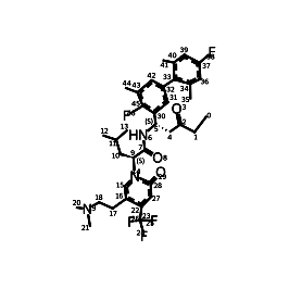 CCC(=O)C[C@H](NC(=O)[C@H](CC(C)C)n1cc(CCN(C)C)c(C(F)(F)F)cc1=O)c1cc(-c2c(C)cc(F)cc2C)cc(C)c1F